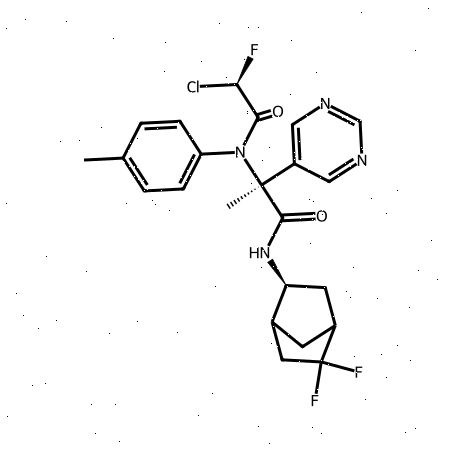 Cc1ccc(N(C(=O)[C@H](F)Cl)[C@](C)(C(=O)N[C@H]2CC3CC2CC3(F)F)c2cncnc2)cc1